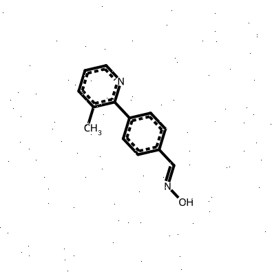 Cc1cccnc1-c1ccc(C=NO)cc1